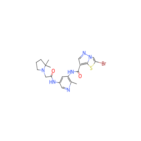 Cc1ncc(NC(=O)CN2CCCC2(C)C)cc1NC(=O)c1cnn2cc(Br)sc12